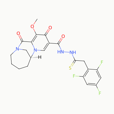 COc1c2n(cc(C(=O)NNC(=S)Cc3c(F)cc(F)cc3F)c1=O)[C@H]1CCCCN(C1)C2=O